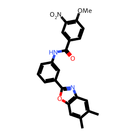 COc1ccc(C(=O)Nc2cccc(-c3nc4cc(C)c(C)cc4o3)c2)cc1[N+](=O)[O-]